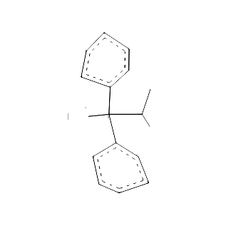 CC(Cl)C([SiH3])(c1ccccc1)c1ccccc1